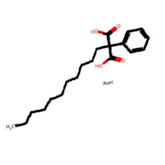 CCCCCCCCCCCC(C(=O)O)(C(=O)O)c1ccccc1.[NaH]